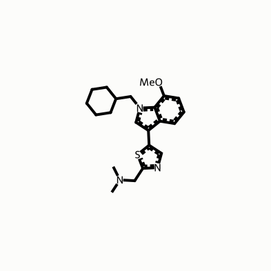 COc1cccc2c(-c3cnc(CN(C)C)s3)cn(CC3CCCCC3)c12